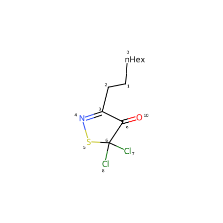 CCCCCCCCC1=NSC(Cl)(Cl)C1=O